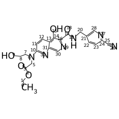 CCOC(=O)CN(CCO)c1ccc2c(O)c(C(=O)NCc3ccc(C#N)nc3)ncc2n1